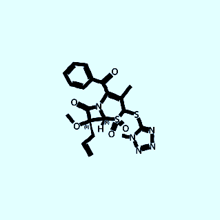 C=CC[C@@]1(OC)C(=O)N2C(C(=O)c3ccccc3)=C(C)C(Sc3nnnn3C)S(=O)(=O)[C@@H]21